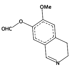 COc1cc2c(cc1OC=O)C=NCC2